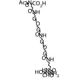 CC(=O)CC(=O)NC(CCC(=O)NCCOCCOCCOCC(=O)NCCOCCOCCOCC(=O)NCCCCC(NN[C@H](C=O)CO)C(N)=O)C(=O)O